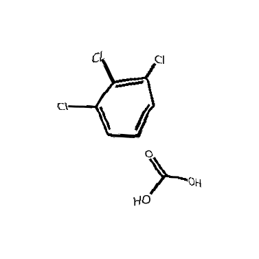 Clc1cccc(Cl)c1Cl.O=C(O)O